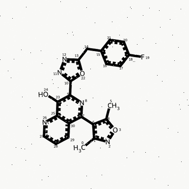 Cc1noc(C)c1-c1nc(-c2nnc(Cc3ccc(F)cc3)o2)c(O)c2ncccc12